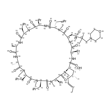 C/C=C/C[C@@H](C)[C@@H](O)[C@@H]1C(=O)N[C@H](CC)C(=O)N(C)[C@H](CS(=O)(=O)C(C)(C)CN2CCOCC2)C(=O)N(C)[C@@H](CC(C)C)C(=O)N[C@H](C(C)C)C(=O)N(C)[C@H](CC(C)C)C(=O)N[C@H](C)C(=O)N[C@@H](C)C(=O)N(C)[C@H](CC(C)C)C(=O)N(C)[C@H](CC(C)C)C(=O)N(C)[C@H](C(C)C)C(=O)N1C